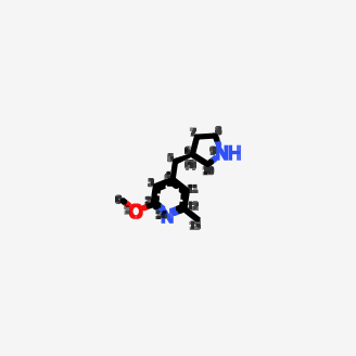 COc1cc(C[C@H]2CCNC2)cc(C)n1